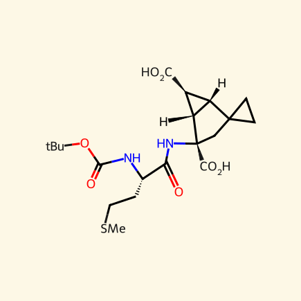 CSCC[C@H](NC(=O)OC(C)(C)C)C(=O)N[C@@]1(C(=O)O)CC2(CC2)[C@H]2[C@H](C(=O)O)[C@H]21